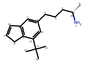 C[C@H](N)CCCc1cc2c(c(C(C)(C)C)c1)CC=C2